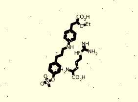 CCOC(Cc1ccc(NCCCc2ccc(OS(C)(=O)=O)cc2)cc1)C(=O)O.N=C(N)NCCCC(N)C(=O)O